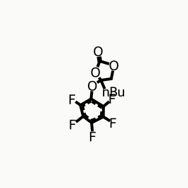 CCCCC1(Oc2c(F)c(F)c(F)c(F)c2F)COC(=O)O1